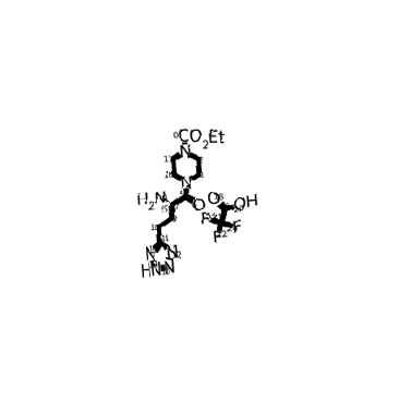 CCOC(=O)N1CCN(C(=O)[C@@H](N)CCc2nn[nH]n2)CC1.O=C(O)C(F)(F)F